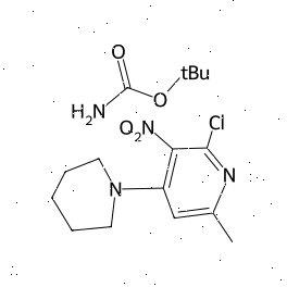 CC(C)(C)OC(N)=O.Cc1cc(N2CCCCC2)c([N+](=O)[O-])c(Cl)n1